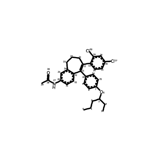 CCCC(CC)Oc1ccc(C2=C(c3ccc(Cl)cc3Cl)CCCc3cc(NC(C)=O)ccc32)cc1